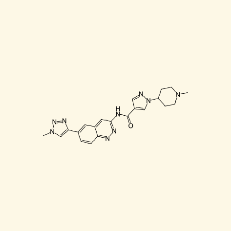 CN1CCC(n2cc(C(=O)Nc3cc4cc(-c5cn(C)nn5)ccc4nn3)cn2)CC1